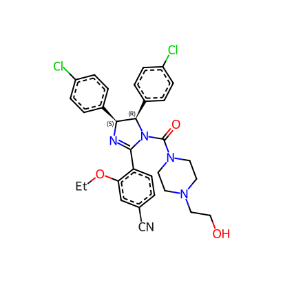 CCOc1cc(C#N)ccc1C1=N[C@@H](c2ccc(Cl)cc2)[C@@H](c2ccc(Cl)cc2)N1C(=O)N1CCN(CCO)CC1